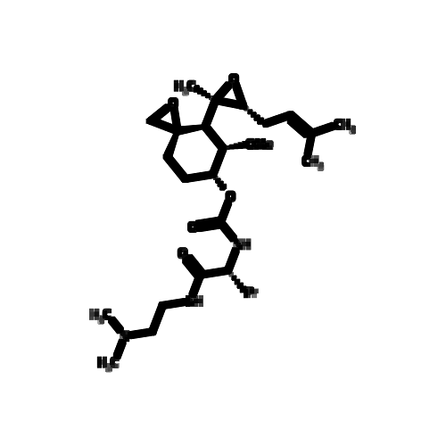 CO[C@@H]1[C@H](OC(=O)N[C@@H](C(=O)NCCN(C)C)C(C)C)CC[C@]2(CO2)[C@H]1[C@@]1(C)O[C@@H]1CC=C(C)C